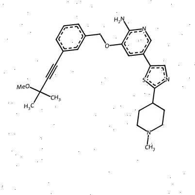 COC(C)(C)C#Cc1cccc(COc2cc(-c3cnc(C4CCN(C)CC4)s3)cnc2N)c1